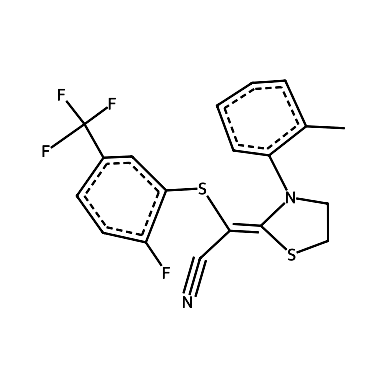 Cc1ccccc1N1CCSC1=C(C#N)Sc1cc(C(F)(F)F)ccc1F